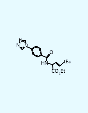 CCOC(=O)C(C=CC(C)(C)C)NC(=O)c1ccc(-n2cnnc2)cc1